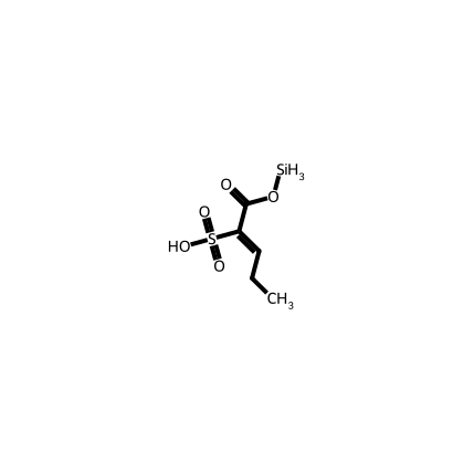 CCC=C(C(=O)O[SiH3])S(=O)(=O)O